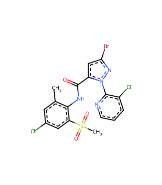 Cc1cc(Cl)cc(S(C)(=O)=O)c1NC(=O)c1cc(Br)nn1-c1ncccc1Cl